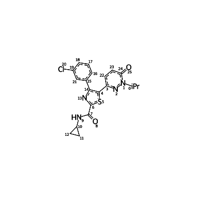 CC(C)n1nc(-c2sc(C(=O)NC3CC3)nc2-c2cccc(Cl)c2)ccc1=O